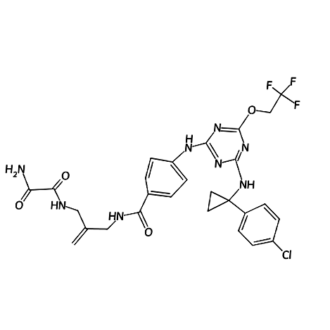 C=C(CNC(=O)C(N)=O)CNC(=O)c1ccc(Nc2nc(NC3(c4ccc(Cl)cc4)CC3)nc(OCC(F)(F)F)n2)cc1